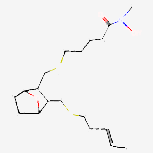 CC=CCCSCC1C2CCC(O2)C1CSCCCCC(=O)N(C)O